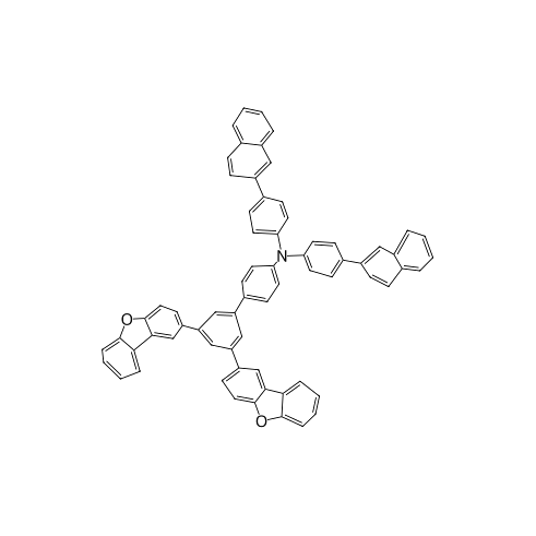 c1ccc2cc(-c3ccc(N(c4ccc(-c5cc(-c6ccc7oc8ccccc8c7c6)cc(-c6ccc7oc8ccccc8c7c6)c5)cc4)c4ccc(-c5ccc6ccccc6c5)cc4)cc3)ccc2c1